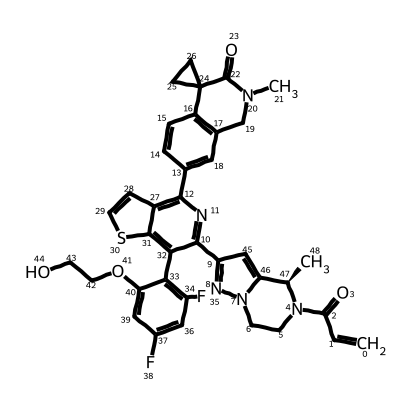 C=CC(=O)N1CCn2nc(-c3nc(-c4ccc5c(c4)CN(C)C(=O)C54CC4)c4ccsc4c3-c3c(F)cc(F)cc3OCCO)cc2[C@H]1C